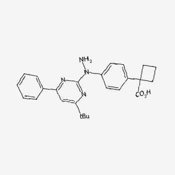 CC(C)(C)c1cc(-c2ccccc2)nc(N(N)c2ccc(C3(C(=O)O)CCC3)cc2)n1